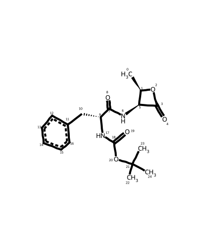 C[C@H]1OC(=O)[C@H]1NC(=O)[C@@H](Cc1ccccc1)NC(=O)OC(C)(C)C